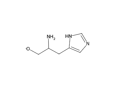 NC(C[O])Cc1cnc[nH]1